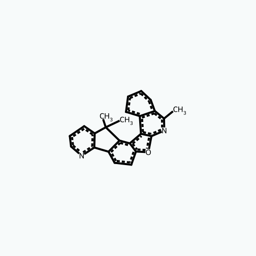 Cc1nc2oc3ccc4c(c3c2c2ccccc12)C(C)(C)c1cccnc1-4